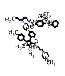 C=C/C=C(\C=C/CN[S+]([O-])c1ccc(NSc2ccccc2)c(S(=O)(=O)C(F)(F)F)c1)N1CCN(c2cccc(-c3c(C(=O)NCCCN4CCN(C)CC4)c(C)n(C)c3-c3ccc(C)cc3)c2)CC1